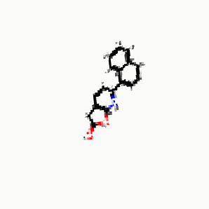 O=C1Cc2ccc(-c3cccc4ccccc34)nc2O1